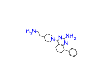 NCCC1CCN(c2nc(N)nc3c2CCCC3c2ccccc2)CC1